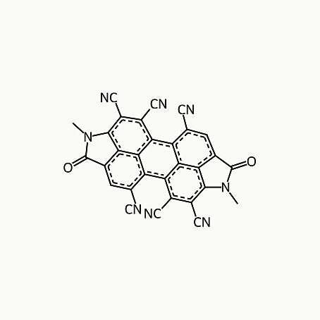 CN1C(=O)c2cc(C#N)c3c4c(C#N)c(C#N)c5c6c(cc(C#N)c(c7c(C#N)c(C#N)c1c2c37)c64)C(=O)N5C